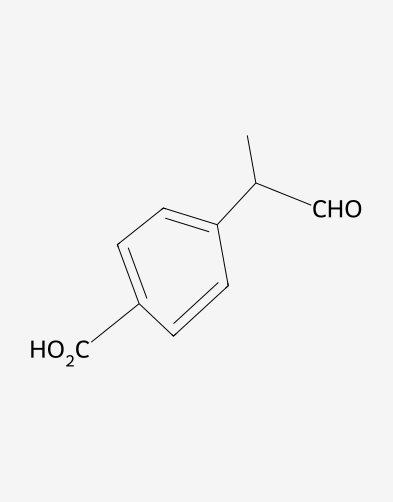 CC(C=O)c1ccc(C(=O)O)cc1